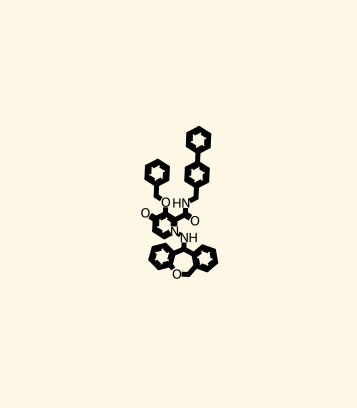 O=C(NCc1ccc(-c2ccccc2)cc1)c1c(OCc2ccccc2)c(=O)ccn1NC1c2ccccc2COc2ccccc21